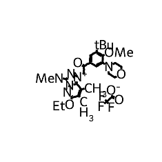 CCOc1nn2c(NC)n[n+](CC(=O)c3cc(N4CCOCC4)c(OC)c(C(C)(C)C)c3)c2c(C)c1C.O=C([O-])C(F)(F)F